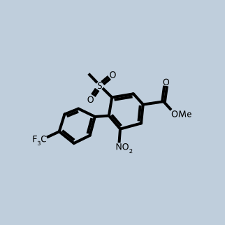 COC(=O)c1cc([N+](=O)[O-])c(-c2ccc(C(F)(F)F)cc2)c(S(C)(=O)=O)c1